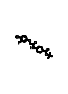 CC(C)(C)OC(=O)N1CCC(NC(=O)COc2ccc(Cl)c(F)c2)CC1